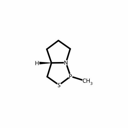 CP1SC[C@@H]2CCCN21